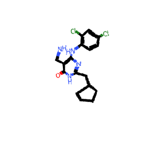 N=Cc1c(Nc2ccc(Cl)cc2Cl)nc(CC2CCCC2)[nH]c1=O